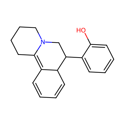 Oc1ccccc1C1CN2CCCCC2=C2C=CC=CC21